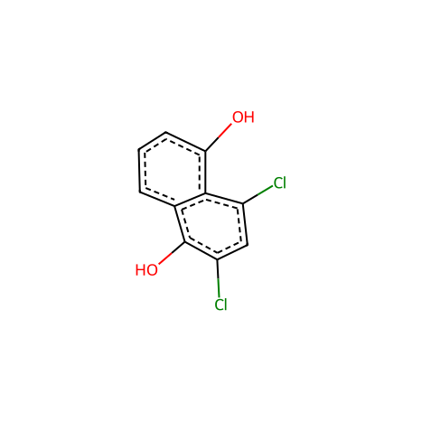 Oc1c(Cl)cc(Cl)c2c(O)cccc12